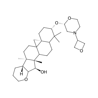 CC1(C)C2CCC3C4(CC[C@]5(C)[C@H]6CCCOC6[C@H](O)[C@@]35C)C[C@]24CC[C@@H]1O[C@H]1CN(C2COC2)CCO1